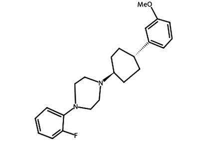 COc1cccc([C@H]2CC[C@H](N3CCN(c4ccccc4F)CC3)CC2)c1